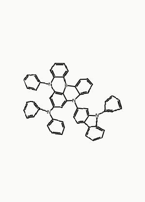 c1ccc(N(c2ccccc2)c2cc3c4c(c2)N(c2ccc5c6ccccc6n(-c6ccccc6)c5c2)c2ccccc2B4c2ccccc2N3c2ccccc2)cc1